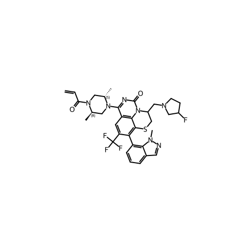 C=CC(=O)N1C[C@H](C)N(c2nc(=O)n3c4c(c(-c5cccc6cnn(C)c56)c(C(F)(F)F)cc24)SCC3CN2CCC(F)C2)C[C@H]1C